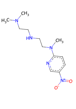 CN(C)CCNCCN(C)c1ccc([N+](=O)[O-])cn1